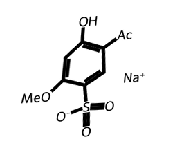 COc1cc(O)c(C(C)=O)cc1S(=O)(=O)[O-].[Na+]